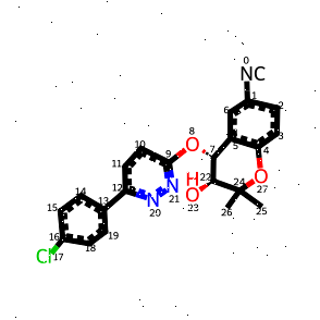 [C-]#[N+]c1ccc2c(c1)[C@@H](Oc1ccc(-c3ccc(Cl)cc3)nn1)[C@H](O)C(C)(C)O2